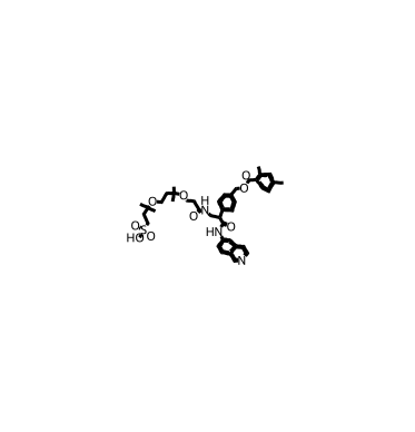 Cc1ccc(C(=O)OCc2ccc(C(CNC(=O)CCOC(C)(C)CCOC(C)(C)CCS(=O)(=O)O)C(=O)Nc3ccc4cnccc4c3)cc2)c(C)c1